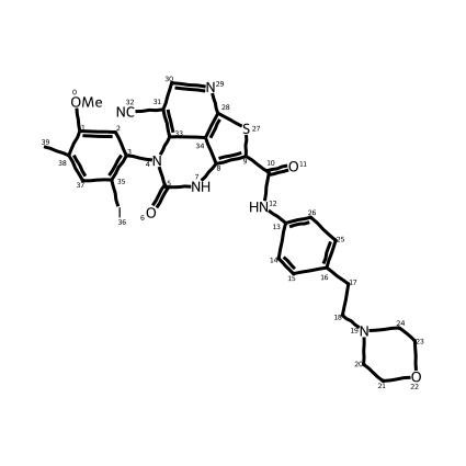 COc1cc(N2C(=O)Nc3c(C(=O)Nc4ccc(CCN5CCOCC5)cc4)sc4ncc(C#N)c2c34)c(I)cc1C